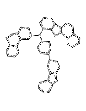 c1ccc2c(c1)ccc1ccc(N(c3ccc(-c4ccc5oc6ccccc6c5c4)cc3)c3cccc4c3oc3c5ccccc5ccc43)cc12